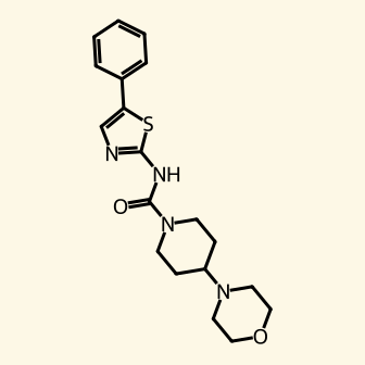 O=C(Nc1ncc(-c2ccccc2)s1)N1CCC(N2CCOCC2)CC1